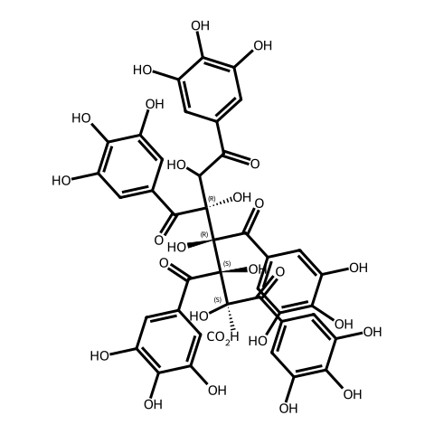 O=C(c1cc(O)c(O)c(O)c1)C(O)[C@](O)(C(=O)c1cc(O)c(O)c(O)c1)[C@](O)(C(=O)c1cc(O)c(O)c(O)c1)[C@@](O)(C(=O)c1cc(O)c(O)c(O)c1)[C@@](O)(C(=O)O)C(=O)c1cc(O)c(O)c(O)c1